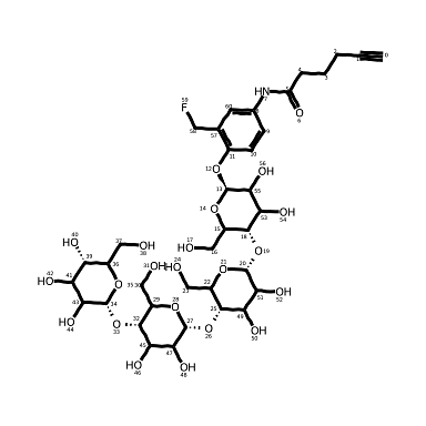 C#CCCCC(=O)Nc1ccc(O[C@@H]2OC(CO)[C@@H](O[C@H]3OC(CO)[C@@H](O[C@H]4OC(CO)[C@@H](O[C@H]5OC(CO)[C@@H](O)C(O)C5O)C(O)C4O)C(O)C3O)C(O)C2O)c(CF)c1